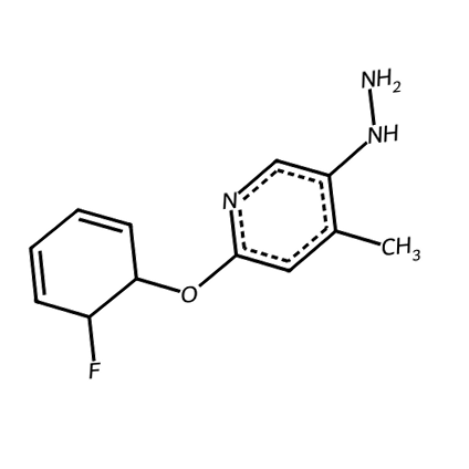 Cc1cc(OC2C=CC=CC2F)ncc1NN